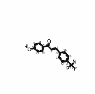 COc1ccc(C(=O)C=Cc2ccc(C(F)(F)F)cc2)cc1